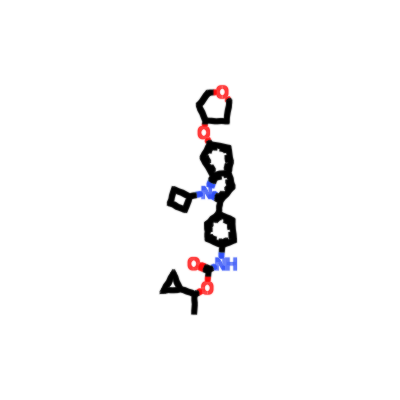 CC(OC(=O)Nc1ccc(-c2cc3ccc(OC4CCOCC4)cc3n2C2CCC2)cc1)C1CC1